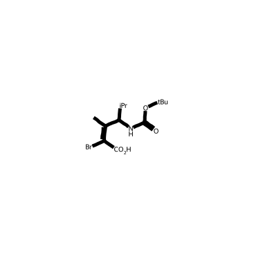 CC(=C(Br)C(=O)O)C(NC(=O)OC(C)(C)C)C(C)C